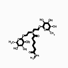 C[C@@H]1O[C@@H](OCCN(CCO[C@@H]2O[C@@H](C)[C@@H](O)[C@@H](O)[C@@H]2O)C(=O)CCCCC(=O)NP)[C@@H](O)[C@H](O)[C@@H]1O